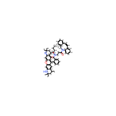 CC1CC(C)(C)Nc2cc3c(cc21)C(c1ccccc1C(=O)N(CCCS(=O)(=O)O)CCC(=O)N1Cc2ccccc2C#Cc2ccccc21)=c1cc2c(cc1O3)=NC(C)(C)CC2C